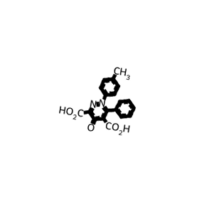 Cc1ccc(-n2nc(C(=O)O)c(=O)c(C(=O)O)c2-c2ccccc2)cc1